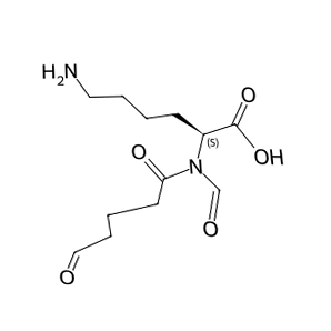 NCCCC[C@@H](C(=O)O)N(C=O)C(=O)CCCC=O